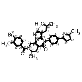 CC1=NC(c2ccc(-n3c(=O)c4c(n5ncc(CC(C)C)c35)CN(C(=O)c3ccc(Br)c(C)c3)[C@@H](C)C4)cc2)=CC1